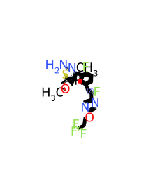 COC[C@]12C[C@H]1[C@@](C)(c1cc(/C=C(\F)c3cnc(OCCC(F)(F)F)cn3)ccc1F)N=C(N)S2